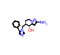 Nc1cc2n(n1)CC[C@H]([C@H]1c3ccccc3-c3cncn31)[C@H]2O